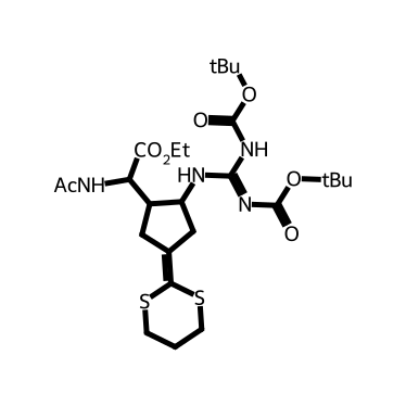 CCOC(=O)C(NC(C)=O)C1CC(=C2SCCCS2)CC1NC(=NC(=O)OC(C)(C)C)NC(=O)OC(C)(C)C